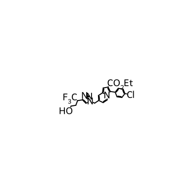 CCOC(=O)c1cc2cc(Cn3cc(C(CCO)C(F)(F)F)nn3)ccn2c1-c1ccc(Cl)cc1